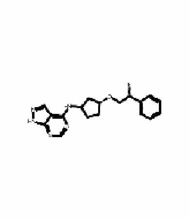 FC(CO[C@H]1CCC(Nc2ncnc3[nH]ncc23)C1)c1ccccc1